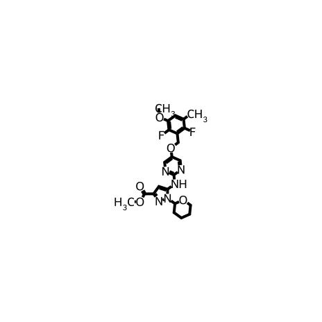 COC(=O)c1cc(Nc2ncc(OCc3c(F)c(C)cc(OC)c3F)cn2)n(C2CCCCO2)n1